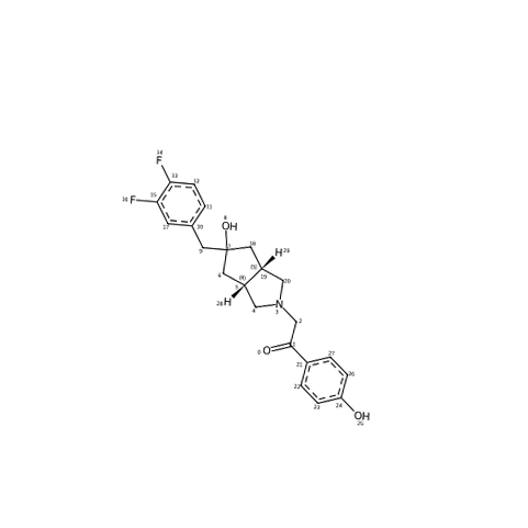 O=C(CN1C[C@@H]2CC(O)(Cc3ccc(F)c(F)c3)C[C@@H]2C1)c1ccc(O)cc1